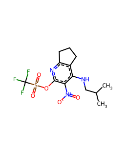 CC(C)CNc1c2c(nc(OS(=O)(=O)C(F)(F)F)c1[N+](=O)[O-])CCC2